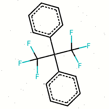 FC(F)(F)C(c1[c]cccc1)(c1[c]cccc1)C(F)(F)F